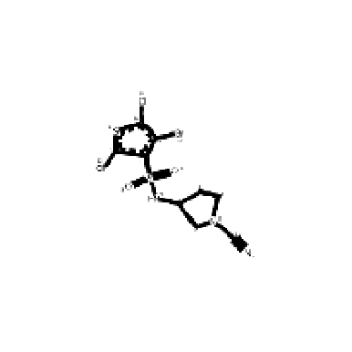 N#CN1CCC(NS(=O)(=O)c2c(Cl)sc(Cl)c2Br)C1